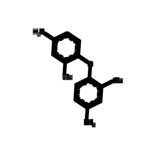 CC(C)(C)c1cc(N)ccc1Oc1ccc(N)cc1C(C)(C)C